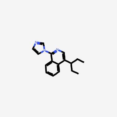 CCC(CC)c1cnc(-n2ccnc2)c2ccccc12